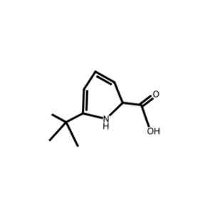 CC(C)(C)C1=CC=CC(C(=O)O)N1